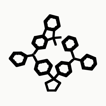 CC1(C)c2ccccc2-c2ccc(N(c3ccccc3)c3ccc(C4(c5ccc(N(c6ccccc6)c6ccccc6)cc5)CCCC4)cc3)cc21